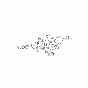 CCCC1CC2=CC(=O)C=C[C@]2(C)[C@H]2CC[C@@]3(C)[C@@H](CC[C@]3(O)CCC(=O)[O-])[C@H]12.[K+]